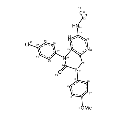 COc1ccc(N2Cc3ncc(NCC(F)(F)F)nc3N(c3ccc(Cl)cc3)C2=O)cc1